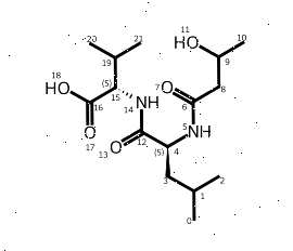 CC(C)C[C@H](NC(=O)CC(C)O)C(=O)N[C@H](C(=O)O)C(C)C